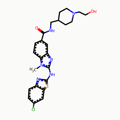 Cn1c(Nc2nc3ccc(Cl)cc3s2)nc2cc(C(=O)NCC3CCN(CCO)CC3)ccc21